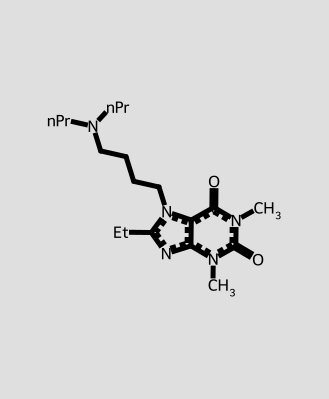 CCCN(CCC)CCCCn1c(CC)nc2c1c(=O)n(C)c(=O)n2C